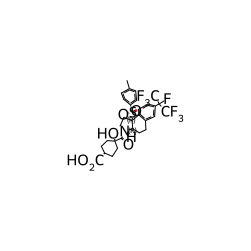 Cc1ccc(S(=O)(=O)[C@@]23CCN(C(=O)[C@]4(O)CC[C@@H](C(=O)O)CC4)[C@@H]2CCc2cc(C(F)(C(F)(F)F)C(F)(F)F)ccc23)cc1